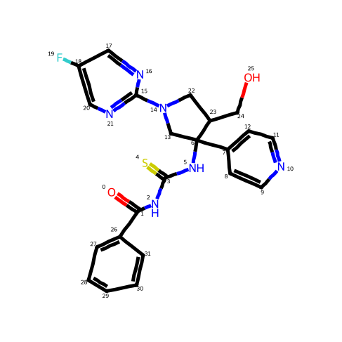 O=C(NC(=S)NC1(c2ccncc2)CN(c2ncc(F)cn2)CC1CO)c1ccccc1